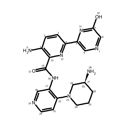 Nc1ccc(-c2cncc(O)n2)nc1C(=O)Nc1cnccc1N1CCC[C@H](N)C1